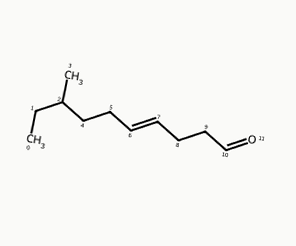 CCC(C)CCC=CCCC=O